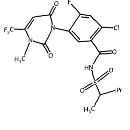 CC(C)C(C)S(=O)(=O)NC(=O)c1cc(-n2c(=O)cc(C(F)(F)F)n(C)c2=O)c(F)cc1Cl